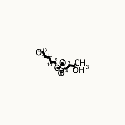 CC(O)CCS(=O)(=O)OCCC=CC=O